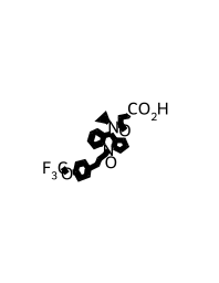 O=C(O)CCC(=O)N(C1CC1)C1c2ccccc2N(C(=O)CCc2ccc(OC(F)(F)F)cc2)C2CCCC21